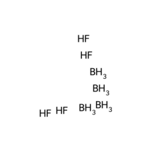 B.B.B.B.F.F.F.F